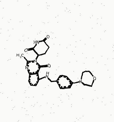 Cc1nc2cccc(NCc3ccc(N4CCOCC4)cc3)c2c(=O)n1C1CCC(=O)NC1=O